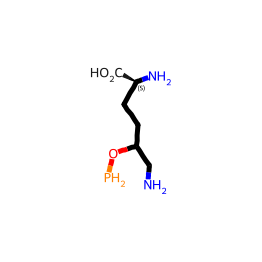 NCC(CC[C@H](N)C(=O)O)OP